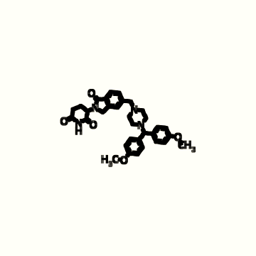 COc1ccc(C(c2ccc(OC)cc2)N2CCN(Cc3ccc4c(c3)CN(C3CCC(=O)NC3=O)C4=O)CC2)cc1